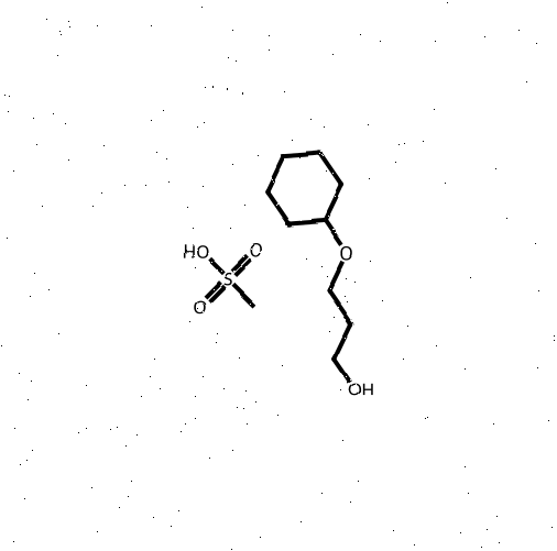 CS(=O)(=O)O.OCCCOC1CCCCC1